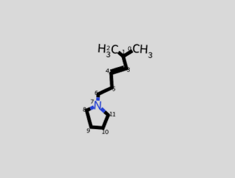 CC(C)/C=C/CCN1CCCC1